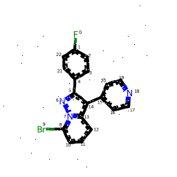 Fc1ccc(-c2nn3c(Br)cccc3c2-c2ccncc2)cc1